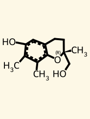 Cc1c(O)cc2c(c1C)O[C@@](C)(CO)CC2